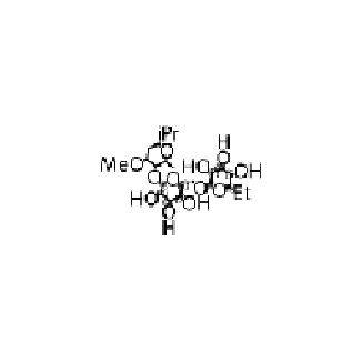 CC[C@H]1O[C@@H](OC[C@H]2O[C@@H](OC3C(C)OC(C(C)C)CC3OC)[C@H](O)[C@@H](O)[C@@H]2O)[C@H](O)[C@@H](O)[C@@H]1O